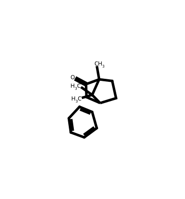 CC12CCC(CC1=O)C2(C)C.c1ccccc1